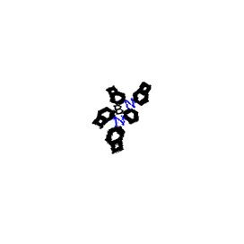 c1cc2c3c(c1)N(c1ccc4c(c1)CC4)c1c(ccc4c1CC4)B3c1cc3c(cc1N2c1ccc2c(c1)CC2)CC3